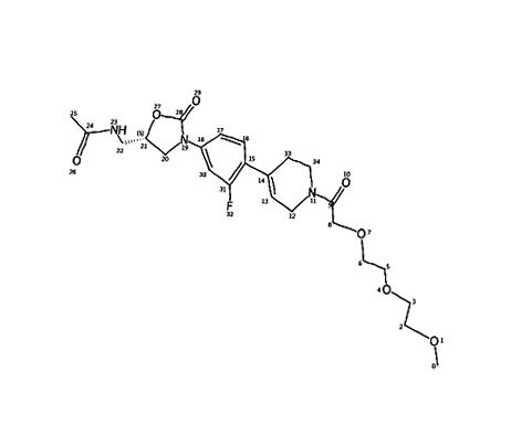 COCCOCCOCC(=O)N1CC=C(c2ccc(N3C[C@H](CNC(C)=O)OC3=O)cc2F)CC1